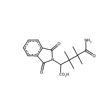 CC(C)(C(N)=O)C(C)(C)C(C(=O)O)N1C(=O)c2ccccc2C1=O